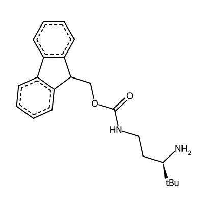 CC(C)(C)[C@H](N)CCNC(=O)OCC1c2ccccc2-c2ccccc21